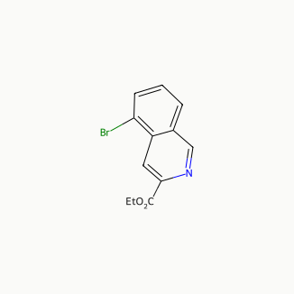 CCOC(=O)c1cc2c(Br)cccc2cn1